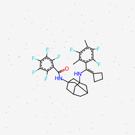 Cc1c(F)c(C)c(C(NC23CC4CC(CC(NC(=O)c5c(F)c(F)c(F)c(F)c5F)(C4)C2)C3)=C2CCC2)c(F)c1F